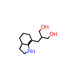 OCC(CO)CC1=C2NCCC2CCC1